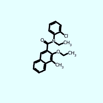 CCOc1c(C(=O)N(CC)c2ccccc2Cl)cc2ccccc2c1C